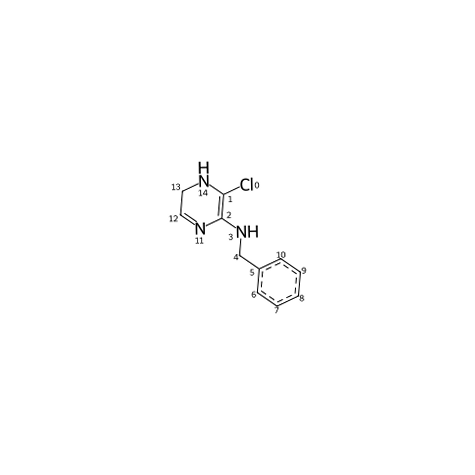 ClC1=C(NCc2ccccc2)N=CCN1